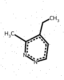 CCc1ccnnc1C